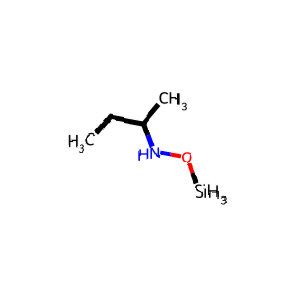 CCC(C)NO[SiH3]